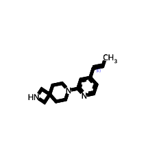 C/C=C/c1ccnc(N2CCC3(CC2)CNC3)c1